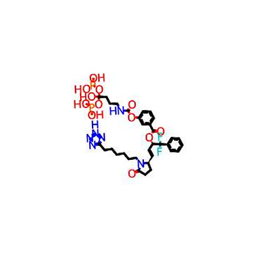 O=C(NCCCC(O)(OP(O)O)OP(O)O)Oc1cccc(C(=O)O[C@H](/C=C/[C@H]2CCC(=O)N2CCCCCCc2nn[nH]n2)C(F)(F)c2ccccc2)c1